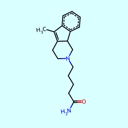 CC1=C2CCN(CCCCC(N)=O)CC2c2ccccc21